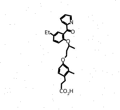 CCc1ccc(OC(C)CCOc2ccc(CCC(=O)O)c(C)c2)c(C(=O)c2ccccn2)c1